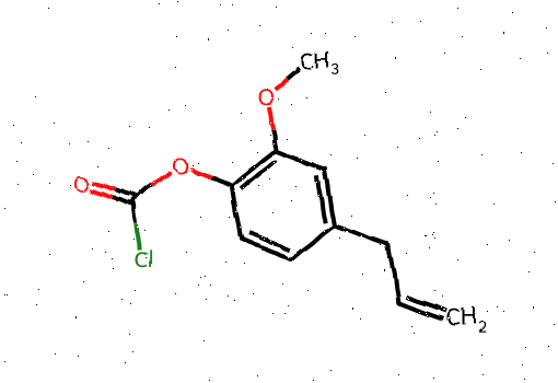 C=CCc1ccc(OC(=O)Cl)c(OC)c1